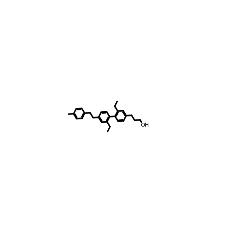 CCc1cc(CCCO)ccc1-c1ccc(CCc2ccc(C)cc2)cc1CC